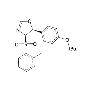 Cc1ccccc1S(=O)(=O)[C@H]1N=CO[C@H]1c1ccc(OC(C)(C)C)cc1